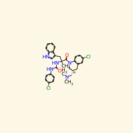 CN(C)C[C@H]1Cc2cc(Cl)ccc2N(C(=O)C(C)(Cc2c[nH]c3ccccc23)NC(=O)Nc2ccc(Cl)cc2)C1